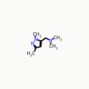 Cc1cc(CN(C)C)n(C)n1